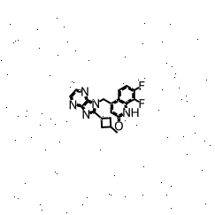 CC1CC(c2nc3nccnc3n2Cc2cc(=O)[nH]c3c(F)c(F)ccc23)C1